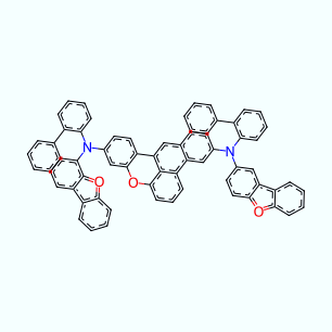 c1ccc(-c2ccccc2N(c2ccc3cc4c5c(cccc5c3c2)Oc2cc(N(c3ccccc3-c3ccccc3)c3cccc5c3oc3ccccc35)ccc2-4)c2ccc3oc4ccccc4c3c2)cc1